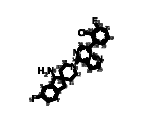 N[C@@H]1c2cc(F)ccc2CC12CCN(c1ncc(-c3cccc(F)c3Cl)n3nccc13)CC2